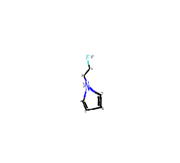 FCCn1cccc1